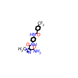 Cn1cnc(C(N)=O)c1C(=O)Nc1ccc(NC(=O)c2ccc(C(F)(F)F)cc2)cc1